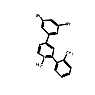 Cc1ccccc1-c1cc(-c2cc(C(C)C)cc(C(C)C)c2)cc[n+]1C